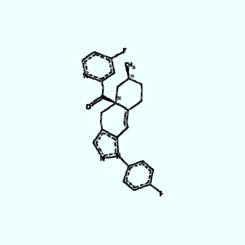 C[C@H]1CCC2=Cc3c(cnn3-c3ccc(F)cc3)C[C@]2(C(=O)c2cc(F)ccn2)C1